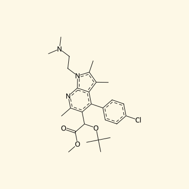 COC(=O)C(OC(C)(C)C)c1c(C)nc2c(c(C)c(C)n2CCN(C)C)c1-c1ccc(Cl)cc1